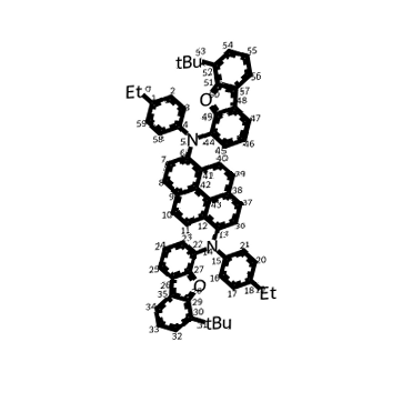 CCc1ccc(N(c2ccc3ccc4c(N(c5ccc(CC)cc5)c5cccc6c5oc5c(C(C)(C)C)cccc56)ccc5ccc2c3c54)c2cccc3c2oc2c(C(C)(C)C)cccc23)cc1